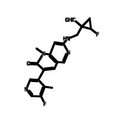 Cc1c(F)cncc1-c1cc2cnc(NCC3(C=O)CC3F)cc2n(C)c1=O